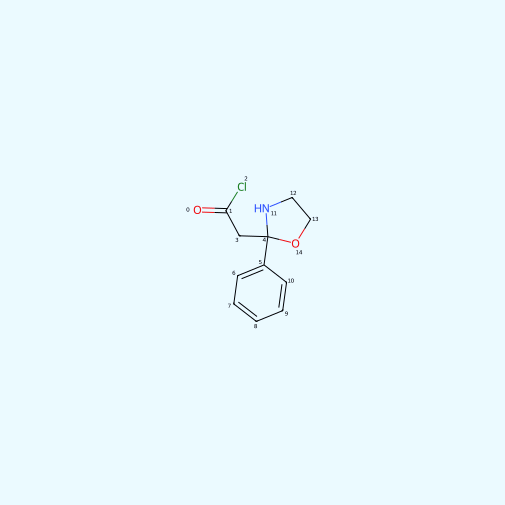 O=C(Cl)CC1(c2ccccc2)NCCO1